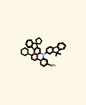 CC(C)c1ccc(-c2ccc(C3CCCCC3)cc2)c(N(c2ccc3c(c2)C(C)(C)c2ccccc2-3)c2ccc3c(c2)C2(CCCC2)c2ccccc2-3)c1